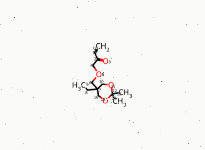 C=CC(=O)COCC1(CC)COC(C)(C)OC1